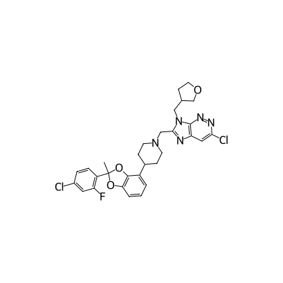 CC1(c2ccc(Cl)cc2F)Oc2cccc(C3CCN(Cc4nc5cc(Cl)nnc5n4CC4CCOC4)CC3)c2O1